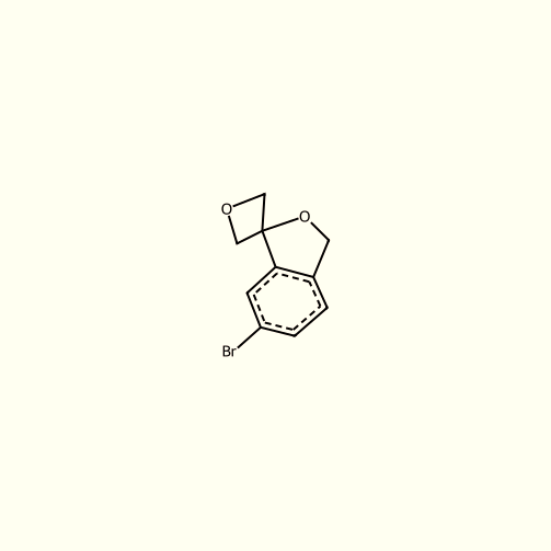 Brc1ccc2c(c1)C1(COC1)OC2